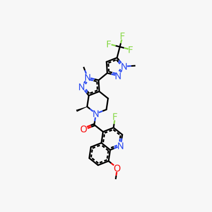 COc1cccc2c(C(=O)N3CCc4c(nn(C)c4-c4cc(C(F)(F)F)n(C)n4)[C@@H]3C)c(F)cnc12